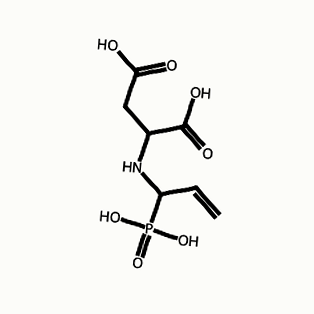 C=CC(NC(CC(=O)O)C(=O)O)P(=O)(O)O